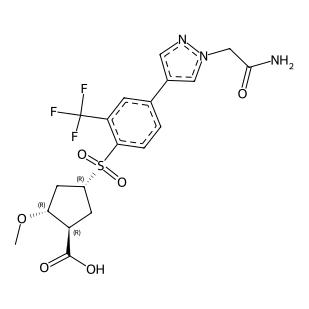 CO[C@@H]1C[C@H](S(=O)(=O)c2ccc(-c3cnn(CC(N)=O)c3)cc2C(F)(F)F)C[C@H]1C(=O)O